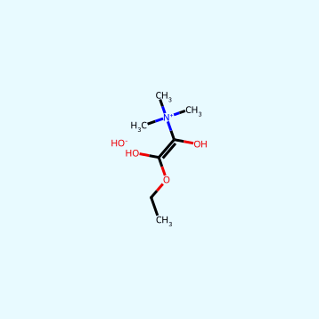 CCOC(O)=C(O)[N+](C)(C)C.[OH-]